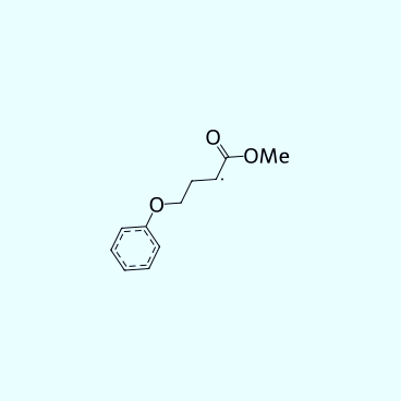 COC(=O)[CH]CCOc1ccccc1